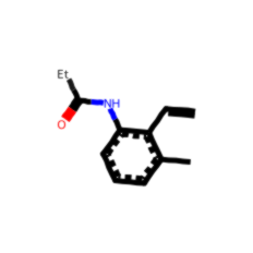 C=Cc1c(C)cccc1NC(=O)CC